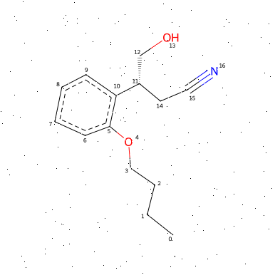 CCCCOc1ccccc1[C@H](CO)CC#N